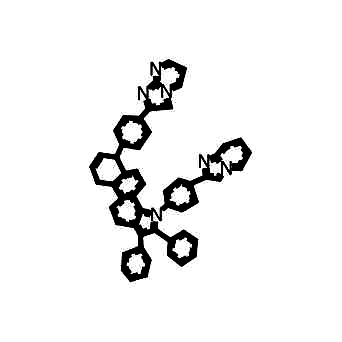 C1=CC(c2ccc(-c3cn4cccnc4n3)cc2)c2ccc3c(ccc4c(-c5ccccc5)c(-c5ccccc5)n(-c5ccc(-c6cn7ccccc7n6)cc5)c43)c2C1